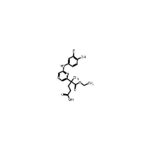 CCOC(=O)C(C)(CCC(=O)O)c1cncc(Nc2ccc(O)c(F)c2)n1